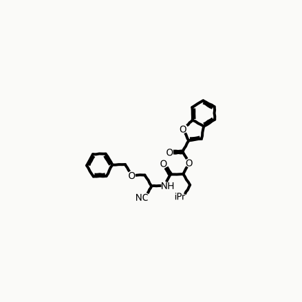 CC(C)CC(OC(=O)c1cc2ccccc2o1)C(=O)NC(C#N)COCc1ccccc1